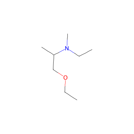 CCOCC(C)N(C)CC